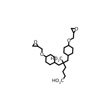 O=C(O)CCCC(CC1CCC(OCC2CO2)CC1)(CC1CCC(OCC2CO2)CC1)C(=O)O